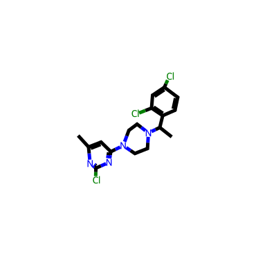 Cc1cc(N2CCN(C(C)c3ccc(Cl)cc3Cl)CC2)nc(Cl)n1